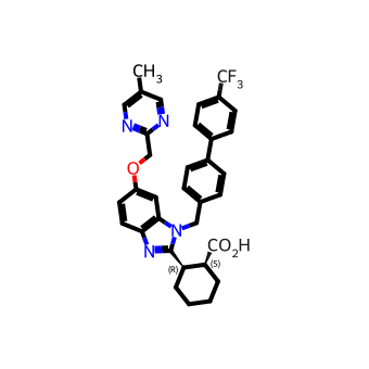 Cc1cnc(COc2ccc3nc([C@@H]4CCCC[C@@H]4C(=O)O)n(Cc4ccc(-c5ccc(C(F)(F)F)cc5)cc4)c3c2)nc1